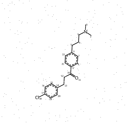 CN(C)CCCc1ccc(C(=O)CCc2ccc(Cl)cc2)cc1